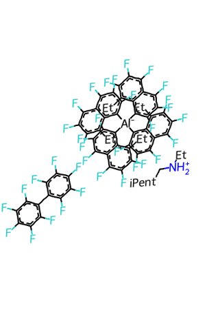 CCCC(C)C[NH2+]CC.CCc1c(F)c(F)c(F)c2c(F)c(F)c(F)[c]([Al-]([c]3c(F)c(F)c(F)c4c(F)c(F)c(F)c(CC)c34)([c]3c(F)c(F)c(F)c4c(F)c(F)c(F)c(CC)c34)[c]3c(F)c(F)c(F)c4c(F)c(F)c(F)c(CC)c34)c12.Fc1c(F)c(F)c(-c2c(F)c(F)c(F)c(F)c2F)c(F)c1F